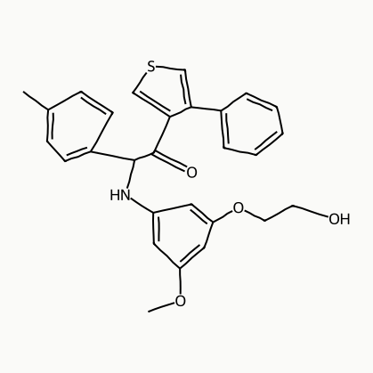 COc1cc(NC(C(=O)c2cscc2-c2ccccc2)c2ccc(C)cc2)cc(OCCO)c1